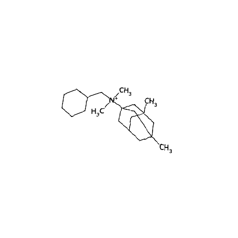 CC12CC3CC(C)(C1)CC([N+](C)(C)CC1CCCCC1)(C3)C2